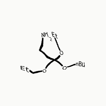 CCCCOC(CN)(OCC)OCC